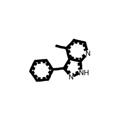 Cc1ccnc2[nH]nc(-c3ccccc3)c12